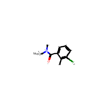 CON(C)C(=O)c1cccc(F)c1C